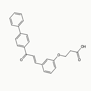 O=C(O)CCOc1cccc(C=CC(=O)c2ccc(-c3ccccc3)cc2)c1